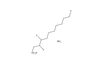 N.O=S(=O)(O)CC(F)C(F)CCCCCCCF